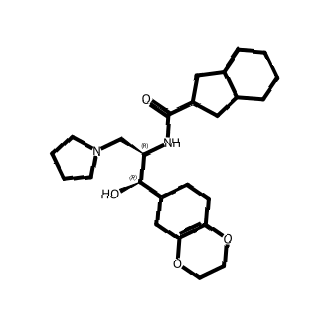 O=C(N[C@H](CN1CCCC1)[C@H](O)C1CCC2=C(C1)OCCO2)C1CC2CCCCC2C1